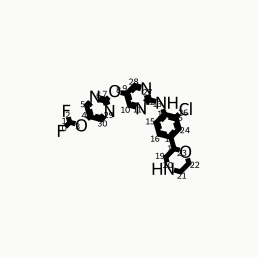 FC(F)Oc1cnc(Oc2cnc(Nc3ccc(C4CNCCO4)cc3Cl)nc2)nc1